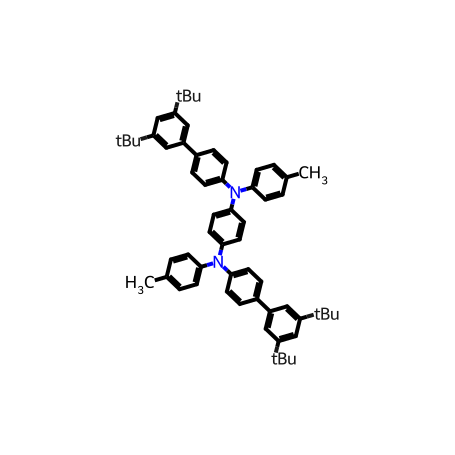 Cc1ccc(N(c2ccc(-c3cc(C(C)(C)C)cc(C(C)(C)C)c3)cc2)c2ccc(N(c3ccc(C)cc3)c3ccc(-c4cc(C(C)(C)C)cc(C(C)(C)C)c4)cc3)cc2)cc1